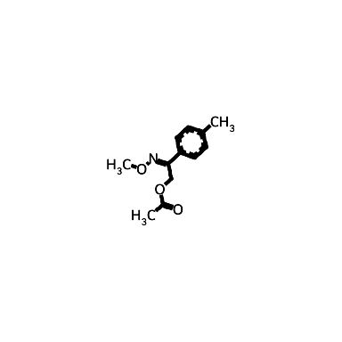 CO/N=C(\COC(C)=O)c1ccc(C)cc1